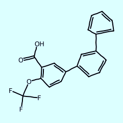 O=C(O)c1cc(-c2cccc(-c3ccccc3)c2)ccc1OC(F)(F)F